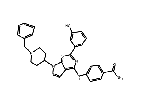 NC(=O)c1ccc(Nc2nc(-c3cccc(O)c3)nc3c2cnn3C2CCN(Cc3ccccc3)CC2)cc1